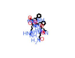 CNC(=O)[C@H](Cc1c[nH]c2ccccc12)NC(=O)[C@H](CCCNC(=N)N)N(C)C(=O)[C@@H](Cc1ccccc1)NC(=O)[C@H](Cc1cnc[nH]1)NC(=O)CCCC(N)=O